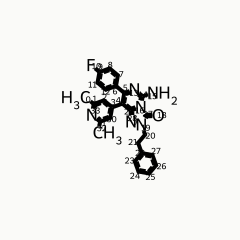 Cc1cc(-c2c(-c3ccc(F)cc3)nc(N)n3c(=O)n(CCc4ccccc4)nc23)cc(C)n1